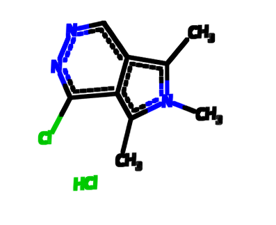 Cc1c2cnnc(Cl)c2c(C)n1C.Cl